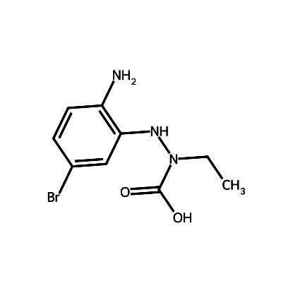 CCN(Nc1cc(Br)ccc1N)C(=O)O